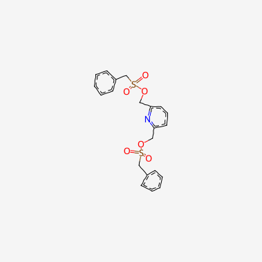 O=S(=O)(Cc1ccccc1)OCc1cccc(COS(=O)(=O)Cc2ccccc2)n1